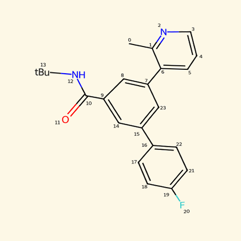 Cc1ncccc1-c1cc(C(=O)NC(C)(C)C)cc(-c2ccc(F)cc2)c1